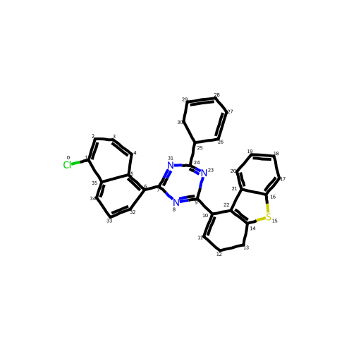 Clc1cccc2c(-c3nc(C4=CCCc5sc6ccccc6c54)nc(C4C=CC=CC4)n3)cccc12